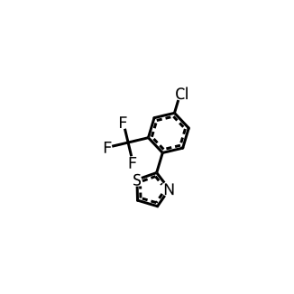 FC(F)(F)c1cc(Cl)ccc1-c1nccs1